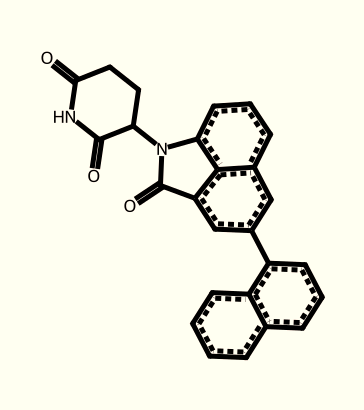 O=C1CCC(N2C(=O)c3cc(-c4cccc5ccccc45)cc4cccc2c34)C(=O)N1